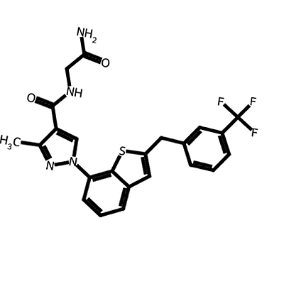 Cc1nn(-c2cccc3cc(Cc4cccc(C(F)(F)F)c4)sc23)cc1C(=O)NCC(N)=O